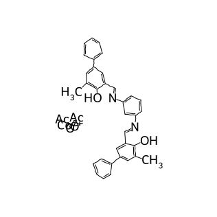 CC(=O)[O-].CC(=O)[O-].Cc1cc(-c2ccccc2)cc(C=Nc2cccc(N=Cc3cc(-c4ccccc4)cc(C)c3O)c2)c1O.[Co+2]